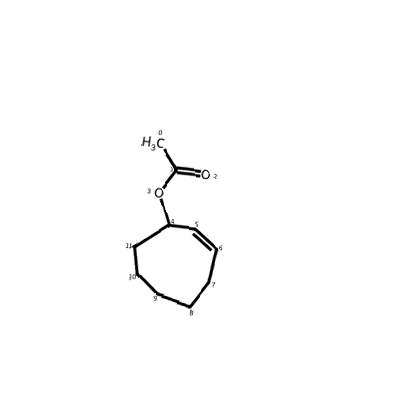 CC(=O)OC1/C=C\CCCCC1